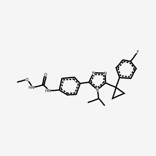 CONC(=O)Nc1ccc(-c2nnc(C3(c4ccc(F)cc4)CC3)n2C(C)C)cc1